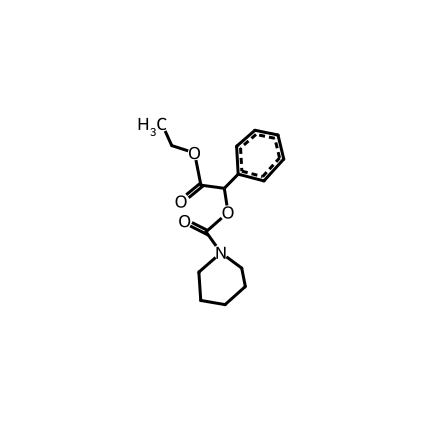 CCOC(=O)C(OC(=O)N1CCCCC1)c1ccccc1